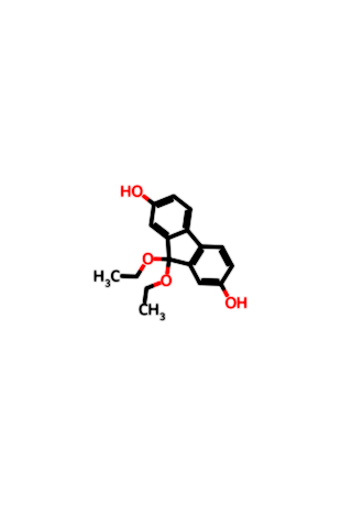 CCOC1(OCC)c2cc(O)ccc2-c2ccc(O)cc21